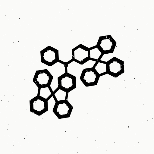 C1=C2C(=CC(N(c3ccccc3)c3ccc4c(c3)C3(c5ccccc5-c5ccccc53)c3ccccc3-4)C1)C1(c3ccccc32)c2ccccc2-c2ccccc21